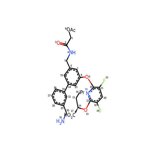 CC(=O)OCC(=O)NCc1cc(Oc2nc(O[C@H](CC(C)C)C(=O)O)c(F)cc2F)cc(-c2cccc(CN)c2)c1